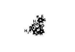 CCS(=O)(=O)N(C)c1cnn2c1CN(C(=O)Nc1cc(F)c(F)c(F)c1)[C@H]1CCC[C@H]12